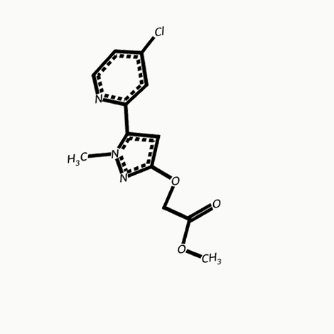 COC(=O)COc1cc(-c2cc(Cl)ccn2)n(C)n1